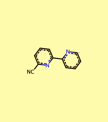 N#Cc1cccc(-c2ccc[c]n2)n1